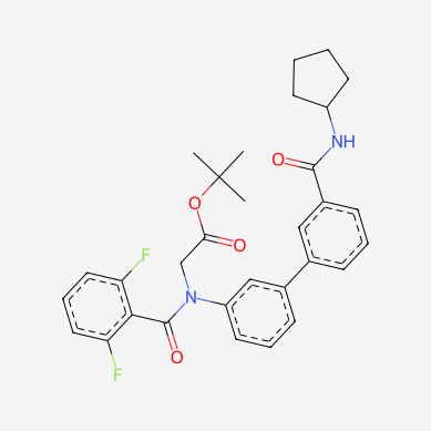 CC(C)(C)OC(=O)CN(C(=O)c1c(F)cccc1F)c1cccc(-c2cccc(C(=O)NC3CCCC3)c2)c1